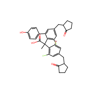 CC(C(=O)O)(c1c(F)cc(CC2CCCC2=O)cc1Br)c1c(F)cc(CC2CCCC2=O)cc1-c1ccc(O)cc1